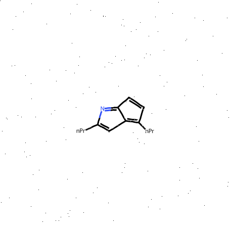 CCCC1=[C]C2=C(CCC)C=CC2=N1